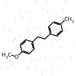 COc1ccc(C[CH]c2ccc(C)cc2)cc1